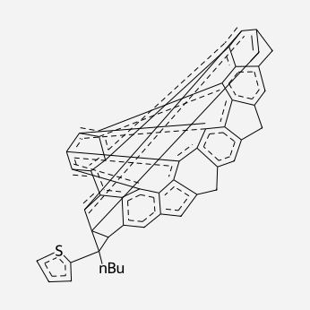 CCCCC1(c2cccs2)C2c3cc4cc5c6c4c4c3c3c7c8c9c%10c(cc%11c%12c%13c(cc(c%14c%13c%13c(c%12%10)c9c3c4c%13c6%14)C5)C%11)CC8=CC721